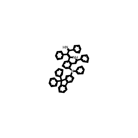 N=C(/C(=C1\NC(c2ccccc2)=Cc2c1cccc2N(c1ccccc1)c1ccc2c(c1)C(c1ccccc1)(c1ccccc1)c1ccccc1-2)c1ccccc1)c1ccccc1